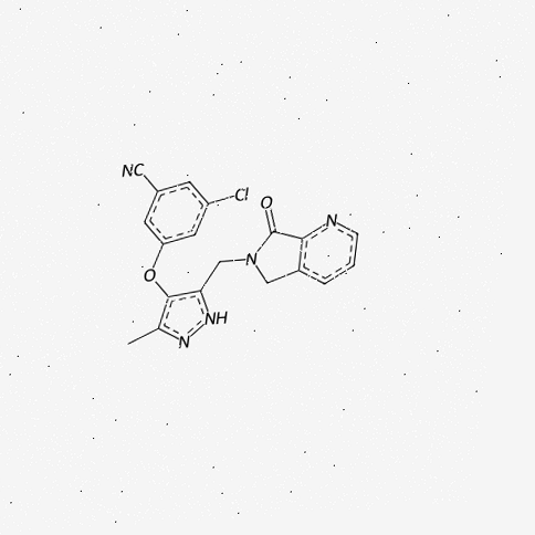 Cc1n[nH]c(CN2Cc3cccnc3C2=O)c1Oc1cc(Cl)cc(C#N)c1